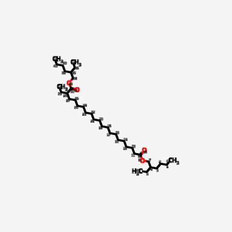 CCCCC(CC)COC(=O)CCCCCCCCCCCCCCCCCC(CC)C(=O)OCC(CC)CCCC